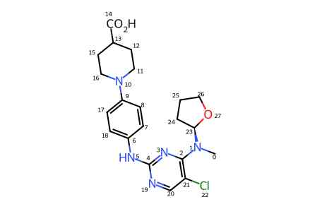 CN(c1nc(Nc2ccc(N3CCC(C(=O)O)CC3)cc2)ncc1Cl)[C@H]1CCCO1